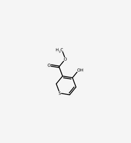 COC(=O)C1=C(O)C=CSC1